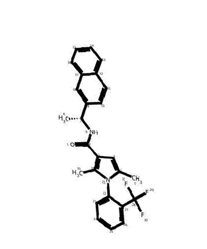 Cc1cc(C(=O)N[C@H](C)c2ccc3ccccc3c2)c(C)n1-c1ccccc1C(F)(F)F